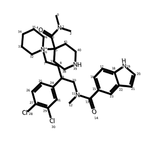 CN(C)C(=O)C1([N+]2(CCC(CN(C)C(=O)c3ccc4[nH]ccc4c3)c3ccc(Cl)c(Cl)c3)CCCCC2)CCNCC1